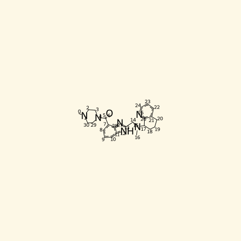 CN1CCN(C(=O)c2cccc3[nH]c(CN(C)C4CCCc5cccnc54)nc23)CC1